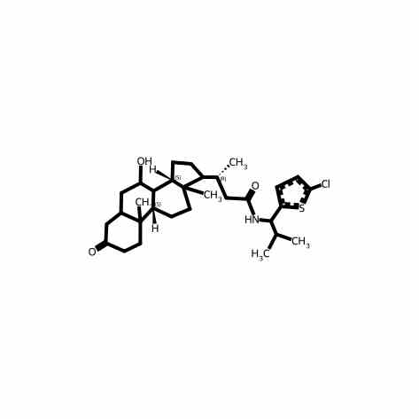 CC(C)C(NC(=O)C[C@@H](C)C1CC[C@H]2C3C(O)CC4CC(=O)CCC4(C)[C@H]3CCC12C)c1ccc(Cl)s1